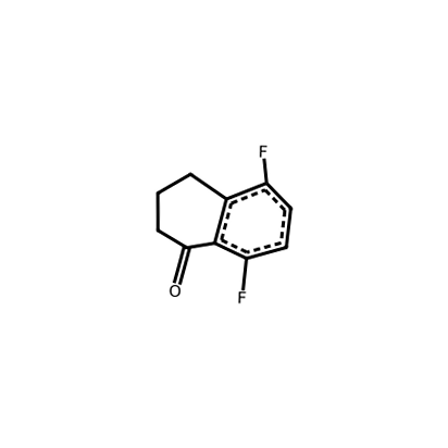 O=C1CCCc2c(F)ccc(F)c21